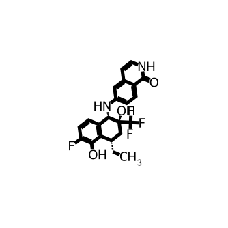 CC[C@H]1C[C@@](O)(C(F)(F)F)[C@@H](Nc2ccc3c(=O)[nH]ccc3c2)c2ccc(F)c(O)c21